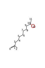 C=C(C)CCCCCCCC(C)=O